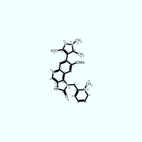 COc1cc2c(cc1C1=C(C)ON(C)C1C)ncc1[nH]c(=O)n(CC3=CC=CCN3C)c12